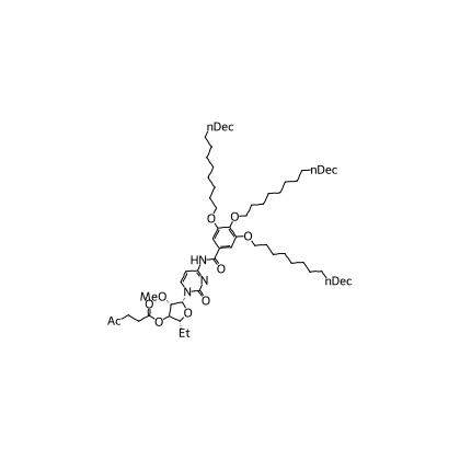 CCCCCCCCCCCCCCCCCCOc1cc(C(=O)Nc2ccn([C@@H]3O[C@H](CC)C(OC(=O)CCC(C)=O)[C@@H]3OC)c(=O)n2)cc(OCCCCCCCCCCCCCCCCCC)c1OCCCCCCCCCCCCCCCCCC